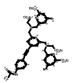 CCOC(=O)CN(Cc1cc(C#Cc2ccc(NC(=O)C(F)(F)F)cc2)cc(CN(CC(=O)OCC)Cc2cc(Br)cc(C(=O)OCC)n2)n1)Cc1cc(Br)cc(C(=O)OCC)n1